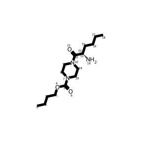 CCCCOC(=O)N1CCN(C(=O)[C@@H](N)CCCC)CC1